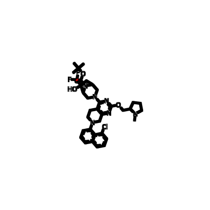 CN1CCCC1COc1nc2c(c(N3CC4CC(O)(C(F)F)C(C3)N4C(=O)OC(C)(C)C)n1)CCN(c1cccc3cccc(Cl)c13)C2